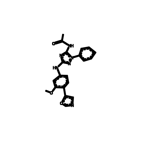 COc1cc(Nc2nc(NC(C)=O)n(-c3ccccc3)n2)ccc1-c1cnco1